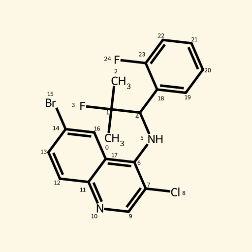 CC(C)(F)C(Nc1c(Cl)cnc2ccc(Br)cc12)c1ccccc1F